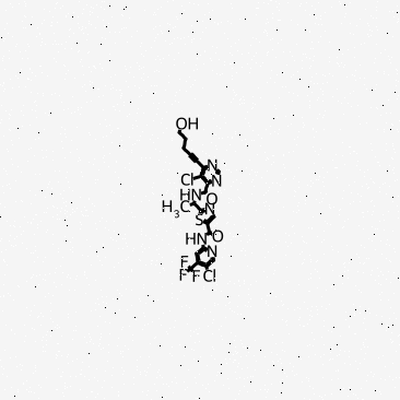 CC(NC(=O)c1ncnc(C#CCCCO)c1Cl)c1ncc(C(=O)Nc2cc(C(F)(F)F)c(Cl)cn2)s1